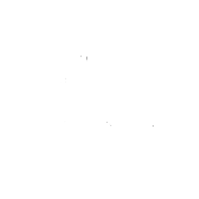 CC(C)(C)OCC1(CN2CC3CC(C3)C2)CC1